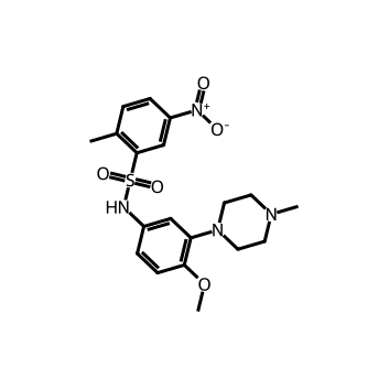 COc1ccc(NS(=O)(=O)c2cc([N+](=O)[O-])ccc2C)cc1N1CCN(C)CC1